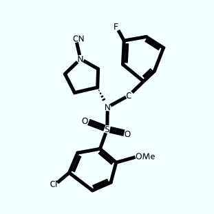 COc1ccc(Cl)cc1S(=O)(=O)N(Cc1cccc(F)c1)[C@@H]1CCN(C#N)C1